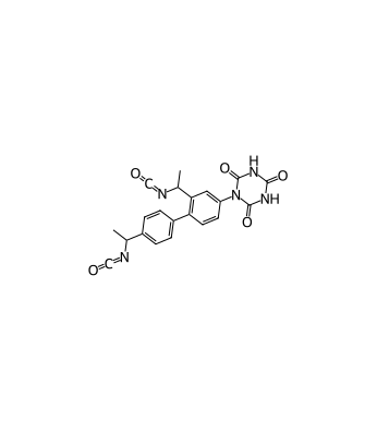 CC(N=C=O)c1ccc(-c2ccc(-n3c(=O)[nH]c(=O)[nH]c3=O)cc2C(C)N=C=O)cc1